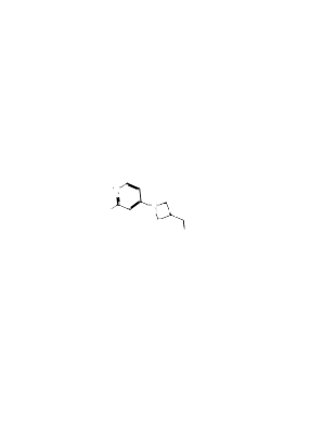 CCOC(=O)CC1CN(c2ccnc(C(F)(F)F)c2)C1